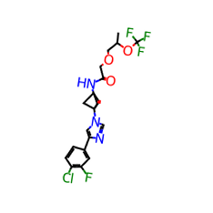 CC(COCC(=O)NC12CC(n3cnc(-c4ccc(Cl)c(F)c4)c3)(C1)C2)OC(F)(F)F